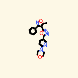 Cc1onc(-c2ccccc2)c1-c1nnc(-c2ccc(N3CCOCC3)nc2)o1